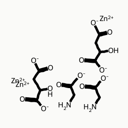 NCC(=O)[O-].NCC(=O)[O-].O=C([O-])CC(O)C(=O)[O-].O=C([O-])CC(O)C(=O)[O-].[Zn+2].[Zn+2].[Zn+2]